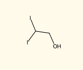 OCC(I)I